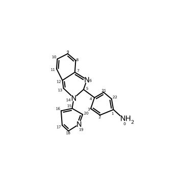 Nc1ccc(C2N=c3ccccc3=CN2c2cccnc2)cc1